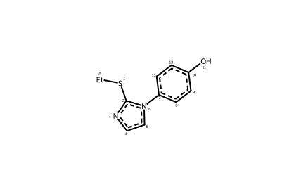 CCSc1nccn1-c1ccc(O)cc1